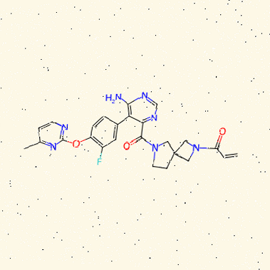 C=CC(=O)N1CC2(CCN(C(=O)c3ncnc(N)c3-c3ccc(Oc4nccc(C)n4)c(F)c3)C2)C1